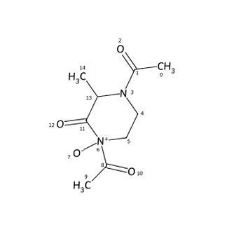 CC(=O)N1CC[N+]([O-])(C(C)=O)C(=O)C1C